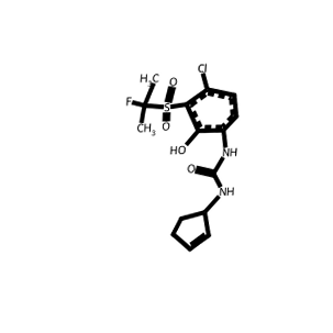 CC(C)(F)S(=O)(=O)c1c(Cl)ccc(NC(=O)NC2C=CCC2)c1O